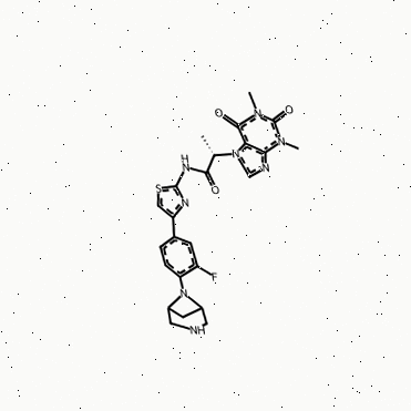 C[C@@H](C(=O)Nc1nc(-c2ccc(N3C4CNCC3C4)c(F)c2)cs1)n1cnc2c1c(=O)n(C)c(=O)n2C